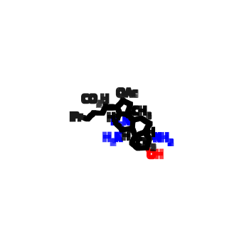 CC(=O)O[C@H]1C[C@@]2(C)[C@@H](C[C@H](N)[C@H]3[C@@]4(C)CC[C@@H](O)[C@@H](N)[C@@H]4CC[C@@]32N)/C1=C(\CCCC(C)C)C(=O)O